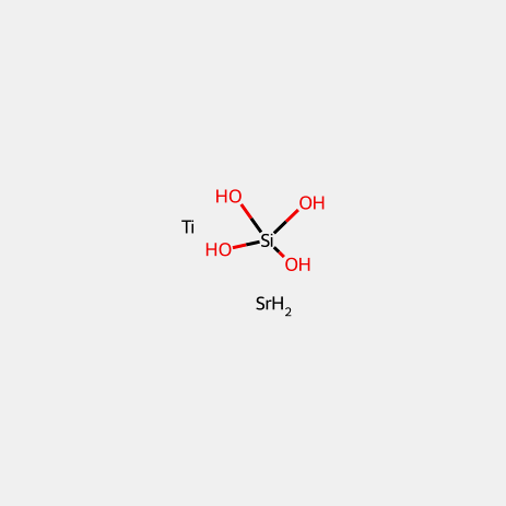 O[Si](O)(O)O.[SrH2].[Ti]